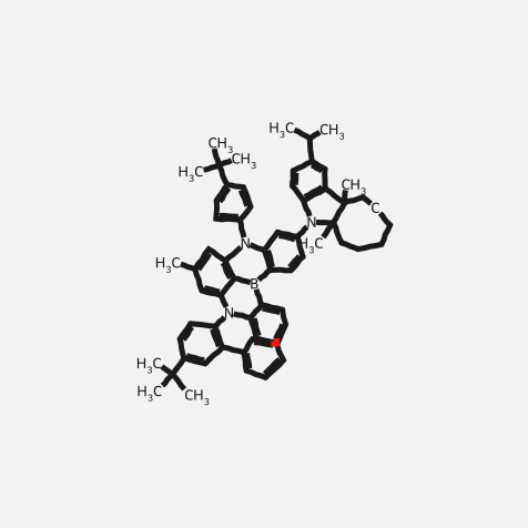 Cc1cc2c3c(c1)N(c1ccc(C(C)(C)C)cc1-c1ccccc1)c1ccccc1B3c1ccc(N3c4ccc(C(C)C)cc4C4(C)CCCCCCC34C)cc1N2c1ccc(C(C)(C)C)cc1